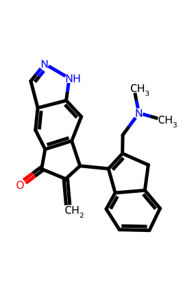 C=C1C(=O)c2cc3cn[nH]c3cc2C1C1=C(CN(C)C)Cc2ccccc21